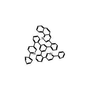 c1ccc(-c2ccc(-c3ccccc3-c3cc(-c4ccccc4-c4ccc(-c5ccccc5)nc4)cc(-c4ccccc4-c4cnc5c(ccc6ccccc65)c4)c3)cn2)cc1